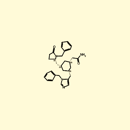 NC(=O)C[C@@H]1C[C@H](Cc2cncn2Cc2ccccc2)C[C@H](C[C@@H]2CCC(=O)N2Cc2ccccc2)C1